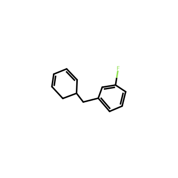 Fc1cccc(CC2C=CC=CC2)c1